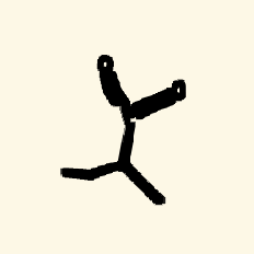 C[C](C)P(=O)=O